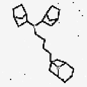 C(CCB1C2CCCC1CCC2)CCP(C1CC2CCC1C2)C1CC2CCC1C2